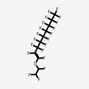 FC(OC(F)C(F)F)=C(F)C(F)(F)C(F)(F)C(F)(F)C(F)(F)C(F)(F)C(F)(F)C(F)(F)F